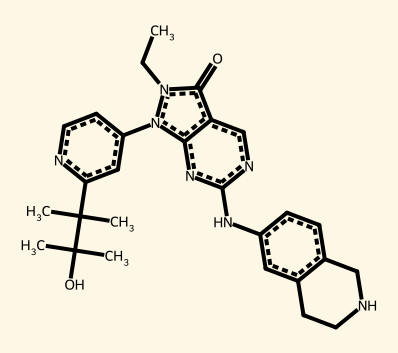 CCn1c(=O)c2cnc(Nc3ccc4c(c3)CCNC4)nc2n1-c1ccnc(C(C)(C)C(C)(C)O)c1